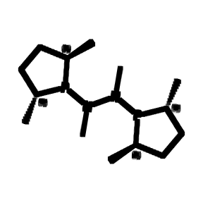 C[C@@H]1CC[C@@H](C)P1N(C)N(C)P1[C@H](C)CC[C@H]1C